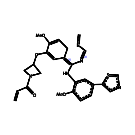 C=CC(=O)N1CC(OC2=C/C(=C(/N=C\N=C)Nc3cc(-c4cncs4)ccc3OC)CC=C2OC)C1